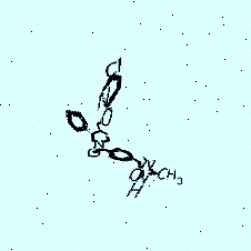 CC1N=C(c2ccc(C(=O)N3CC[C@H](COc4ccc(Cl)cn4)[C@@H](c4ccccc4)C3)cc2)ON1